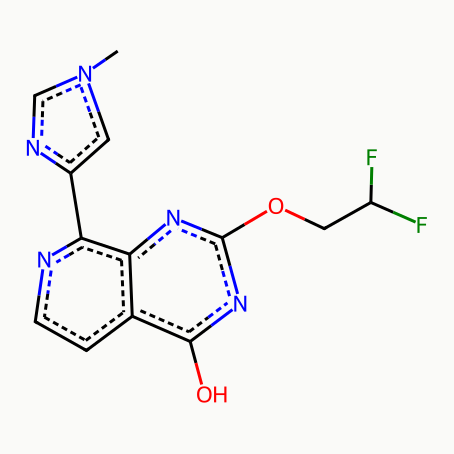 Cn1cnc(-c2nccc3c(O)nc(OCC(F)F)nc23)c1